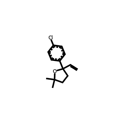 C=CC1(c2ccc(Cl)cc2)CCC(C)(C)O1